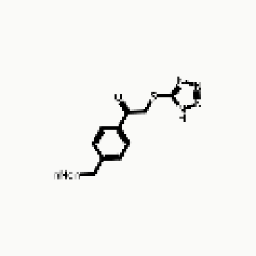 CCCCCCCCCCc1ccc(C(=O)CSc2nnn[nH]2)cc1